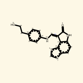 O=C1Nc2ccc3ncsc3c2/C1=C\Nc1ccc(CCO)cc1